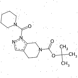 CC(C)(C)OC(=O)N1CCc2cnn(C(=O)N3CCCCC3)c2C1